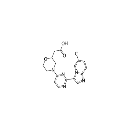 O=C(O)CC1CN(c2ccnc(-c3cnc4ccc(Cl)cn34)n2)CCO1